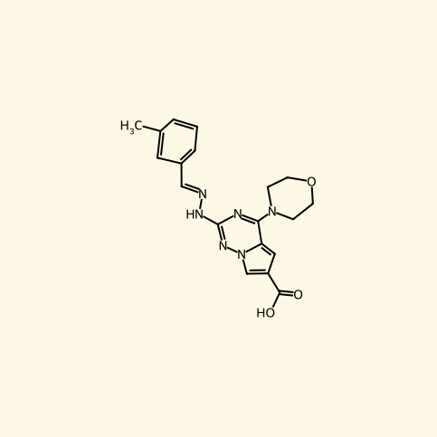 Cc1cccc(/C=N/Nc2nc(N3CCOCC3)c3cc(C(=O)O)cn3n2)c1